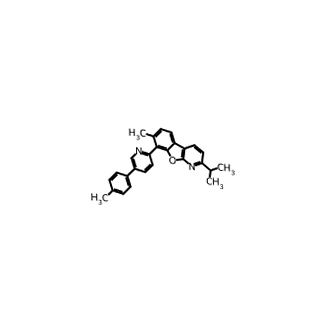 Cc1ccc(-c2ccc(-c3c(C)ccc4c3oc3nc(C(C)C)ccc34)nc2)cc1